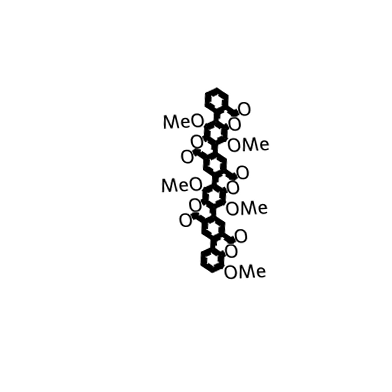 COc1cccc2c1oc(=O)c1cc3c(cc12)c(=O)oc1c(OC)c2c(oc(=O)c4cc5c(cc42)c(=O)oc2c(OC)c4c(oc(=O)c6ccccc64)c(OC)c25)c(OC)c13